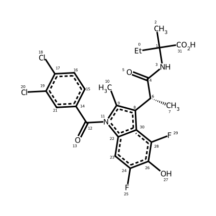 CCC(C)(NC(=O)[C@H](C)c1c(C)n(C(=O)c2ccc(Cl)c(Cl)c2)c2cc(F)c(O)c(F)c12)C(=O)O